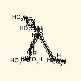 O=C(O)CCCNC(=O)N[C@@H](CCCCNC(=O)Nc1cccc(-c2cn(CCOCCOCCOCCC(=O)N[C@@H](CCCCNC(=S)Nc3cc(CN4CCOCCOCCN(Cc5cccc(C(=O)O)n5)CCOCCOCC4)nc(C(=O)O)c3)C(=O)NCCOCCOCCOCCOCCOCCOCCOCCOCCC(=O)N[C@@H](CCCCNC(=O)Cc3ccc(I)cc3)C(=O)O)nn2)c1)C(=O)O